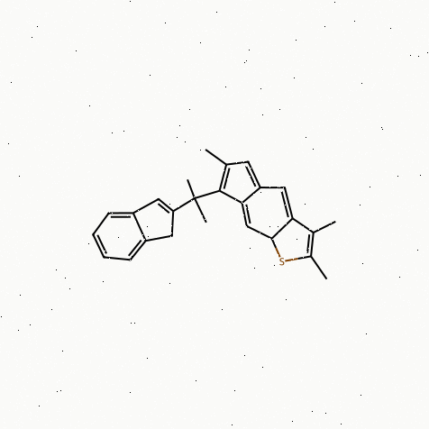 CC1=C(C(C)(C)C2=Cc3ccccc3C2)C2=CC3SC(C)=C(C)C3=CC2=C1